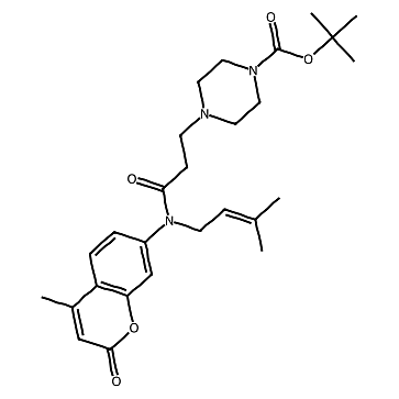 CC(C)=CCN(C(=O)CCN1CCN(C(=O)OC(C)(C)C)CC1)c1ccc2c(C)cc(=O)oc2c1